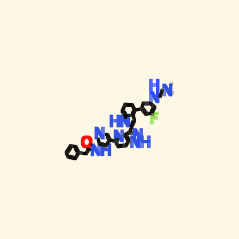 CN(C)CCNc1cc(F)cc(-c2cccc3[nH]c(-c4n[nH]c5ccc(-c6cncc(NC(=O)Cc7ccccc7)c6)nc45)cc23)c1